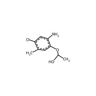 C[C](O)Oc1cc(C)c(Cl)cc1N